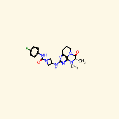 C[C@H]1C(=O)N2CCCc3nc(NC4CN(C(=O)Nc5ccc(F)cc5)C4)nc(c32)N1C